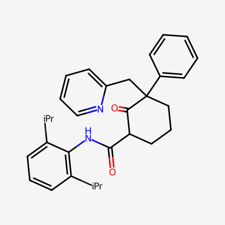 CC(C)c1cccc(C(C)C)c1NC(=O)C1CCCC(Cc2ccccn2)(c2ccccc2)C1=O